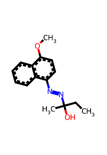 CCC(C)(O)/N=N/c1ccc(OC)c2ccccc12